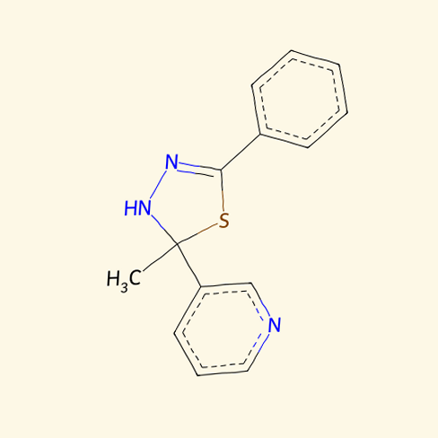 CC1(c2cccnc2)NN=C(c2ccccc2)S1